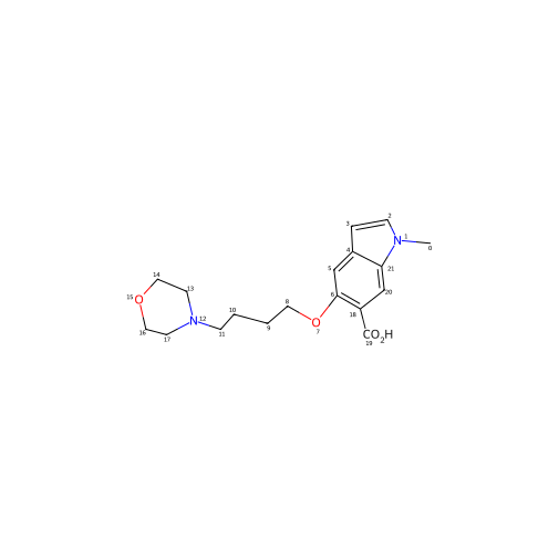 Cn1ccc2cc(OCCCCN3CCOCC3)c(C(=O)O)cc21